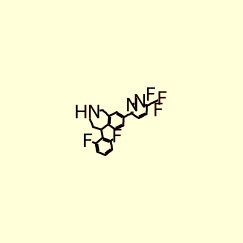 Fc1cccc(F)c1C1CCNCc2cc(-c3ccc(C(F)(F)F)nn3)ccc21